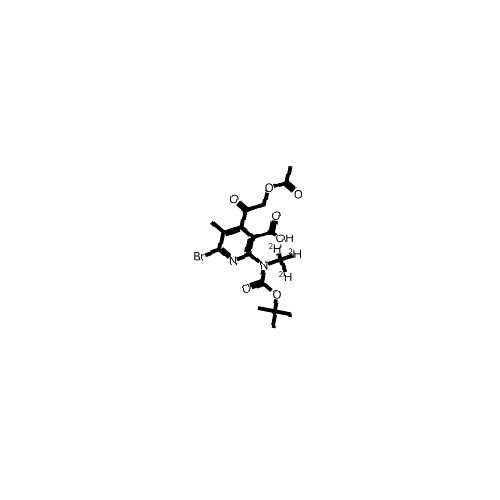 [2H]C([2H])([2H])N(C(=O)OC(C)(C)C)c1nc(Br)c(C)c(C(=O)COC(C)=O)c1C(=O)O